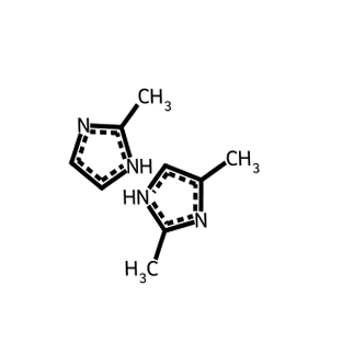 Cc1c[nH]c(C)n1.Cc1ncc[nH]1